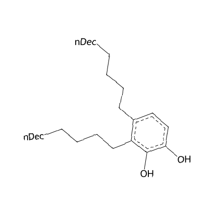 CCCCCCCCCCCCCCc1ccc(O)c(O)c1CCCCCCCCCCCCCC